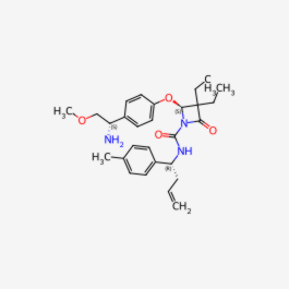 C=CC[C@@H](NC(=O)N1C(=O)C(CC)(CC)[C@@H]1Oc1ccc([C@H](N)COC)cc1)c1ccc(C)cc1